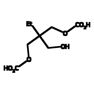 CCC(CO)(COC(=O)O)COC(=O)O